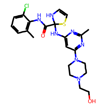 Cc1nc(NC2(C(=O)Nc3c(C)cccc3Cl)NC=CS2)cc(N2CCN(CCO)CC2)n1